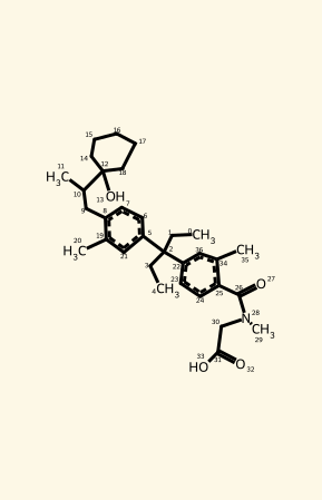 CCC(CC)(c1ccc(CC(C)C2(O)CCCCC2)c(C)c1)c1ccc(C(=O)N(C)CC(=O)O)c(C)c1